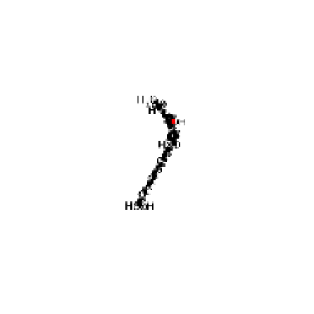 CCOC(=O)NCCc1ccc(O)c(/N=N/c2ccc(C(=O)NCCOCCOCCOCCOCCOCCOCCC(O)O)cc2)c1